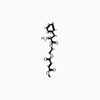 COC(=O)/C=C/C(=O)OCCOC(=O)C(N)Cc1ccccc1